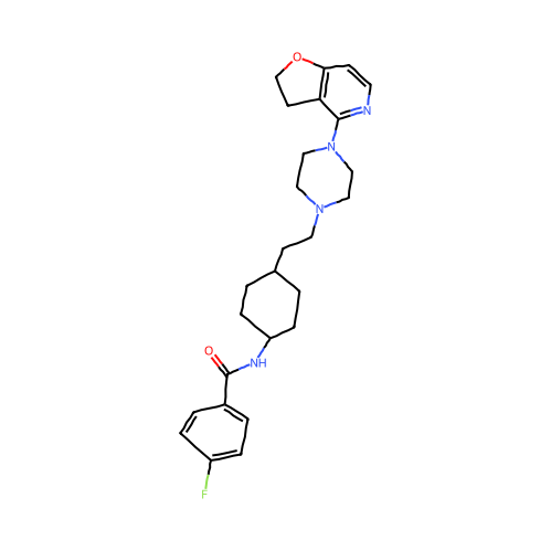 O=C(NC1CCC(CCN2CCN(c3nccc4c3CCO4)CC2)CC1)c1ccc(F)cc1